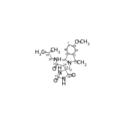 C=C1c2cc(OC)ccc2CN1CC1(CC(=O)NCC(C)C)NC(=O)NC1=O